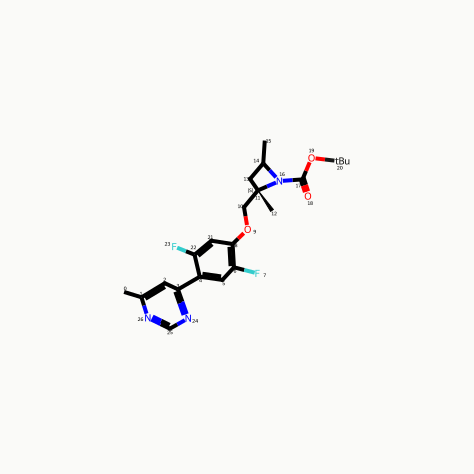 Cc1cc(-c2cc(F)c(OC[C@]3(C)CC(C)N3C(=O)OC(C)(C)C)cc2F)ncn1